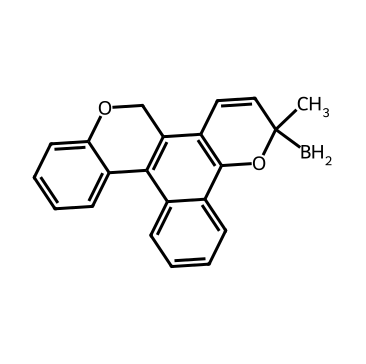 BC1(C)C=Cc2c3c(c4ccccc4c2O1)-c1ccccc1OC3